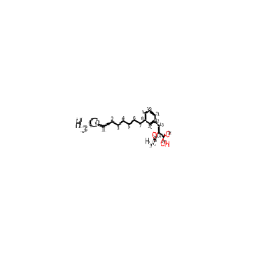 CCCCCCCCc1cccc(C=C(OC)C(=O)O)c1